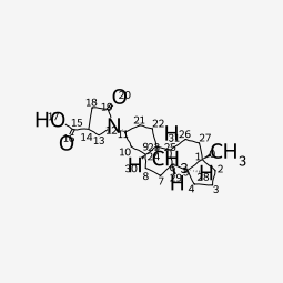 C[C@@]12CCC[C@H]1[C@@H]1CC[C@@H]3C[C@H](N4CC(C(=O)O)CC4=O)CC[C@]3(C)[C@H]1CC2